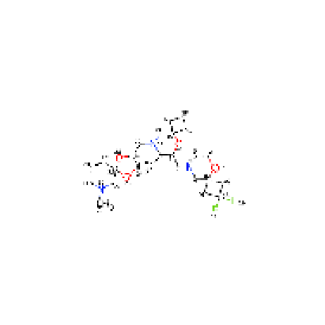 CC1C(CN2CCOC3(C2)CC(F)(F)C3)OC2(CCC2)CN1CC1COC2(CCCN(C)C2)O1